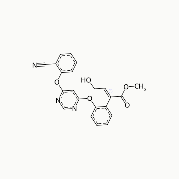 COC(=O)/C(=C/CO)c1ccccc1Oc1cc(Oc2ccccc2C#N)ncn1